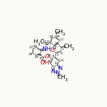 C=C1C=C(c2ccc3nn(C)nc3c2)Oc2c1cc(C)cc2C(C)Nc1ccccc1C(=O)O